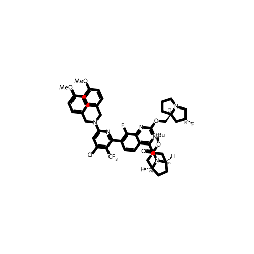 COc1ccc(CN(Cc2ccc(OC)cc2)c2cc(Cl)c(C(F)(F)F)c(-c3ccc4c(N5C[C@H]6CC[C@@H](C5)N6C(=O)OC(C)(C)C)nc(OC[C@@]56CCCN5C[C@H](F)C6)nc4c3F)n2)cc1